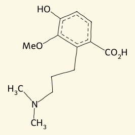 COc1c(O)ccc(C(=O)O)c1CCCN(C)C